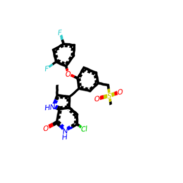 Cc1[nH]c2c(=O)[nH]c(Cl)cc2c1-c1cc(CS(C)(=O)=O)ccc1Oc1ccc(F)cc1F